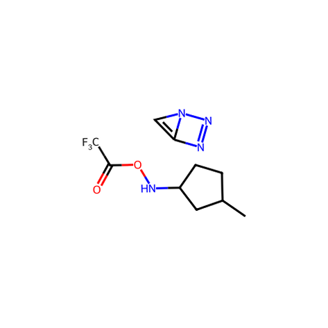 CC1CCC(NOC(=O)C(F)(F)F)C1.c1c2nnn1-2